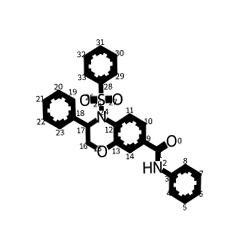 O=C(Nc1ccccc1)c1ccc2c(c1)OCC(c1ccccc1)N2S(=O)(=O)c1ccccc1